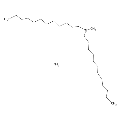 CCCCCCCCCCCCN(C)CCCCCCCCCCCC.N